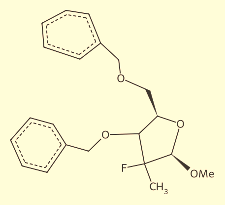 CO[C@@H]1O[C@H](COCc2ccccc2)C(OCc2ccccc2)C1(C)F